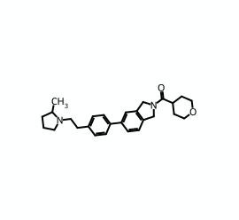 CC1CCCN1CCc1ccc(-c2ccc3c(c2)CN(C(=O)C2CCOCC2)C3)cc1